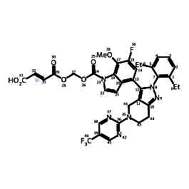 CCc1cccc(CC)c1-n1nc2c(c1-c1cc(F)c(OC)c3c1ccn3C(=O)OCOC(=O)/C=C/C(=O)O)CN(c1ncc(C(F)(F)F)cn1)CC2